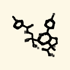 Cn1ccc(C(=O)NCC(O)(c2cc3c(c(-c4ccc(F)cc4)n2)OC[C@]3(C)C(N)=O)C(F)(F)F)c1